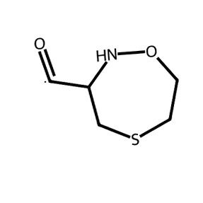 O=[C]C1CSCCON1